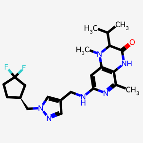 Cc1nc(NCc2cnn(C[C@H]3CCC(F)(F)C3)c2)cc2c1NC(=O)C(C(C)C)N2C